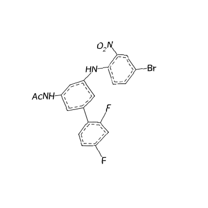 CC(=O)Nc1cc(Nc2ccc(Br)cc2[N+](=O)[O-])cc(-c2ccc(F)cc2F)c1